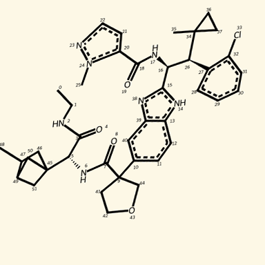 CCNC(=O)[C@H](NC(=O)C1(c2ccc3[nH]c([C@@H](NC(=O)c4ccnn4C)[C@H](c4ccccc4Cl)C4(C)CC4)nc3c2)CCOC1)C12CC(C)C(C1)C2